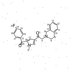 Cn1cc(C(=O)CN2CCc3ccccc3C2)cc1C(=O)c1ccc(F)cc1